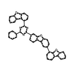 c1ccc(-c2nc(-c3ccc4c(c3)oc3ccc(-c5cccc6c5oc5ccccc56)cc34)nc(-c3cccc4oc5ccccc5c34)n2)cc1